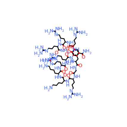 NCCCCC(NC(=O)C(CCCN=C(N)N)NC(=O)CNC(=O)C(N)Cc1ccc(O)cc1)C(=O)NC(CCCCN)C(=O)NC(CCCN=C(N)N)C(=O)NC(CCCN=C(N)N)C(=O)NC(CCC(N)=O)C(=O)NC(CCCN=C(N)N)C(=O)NC(CCCN=C(N)N)C(=O)NC(CCCN=C(N)N)C(N)=O